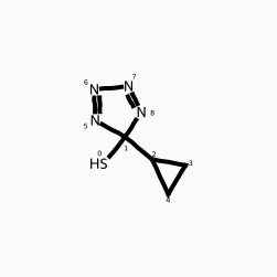 SC1(C2CC2)N=NN=N1